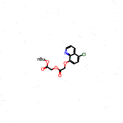 CCCCOC(=O)COC(=O)COc1ccc(Cl)c2cccnc12